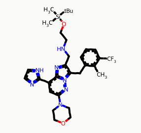 Cc1c(Cc2c(CNCCO[Si](C)(C)C(C)(C)C)nc3c(-c4ncc[nH]4)cc(N4CCOCC4)nn23)cccc1C(F)(F)F